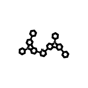 c1ccc(-c2ccc3c(c2)c2cc(-c4cccc(-c5ccc6c(c5)c5cc(-c7ccccc7)ccc5n6-c5ccccc5)n4)ccc2n3-c2ccccc2)cc1